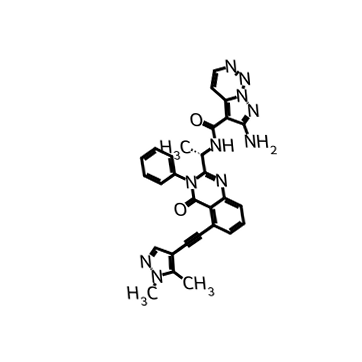 Cc1c(C#Cc2cccc3nc([C@H](C)NC(=O)c4c(N)nn5nnccc45)n(-c4ccccc4)c(=O)c23)cnn1C